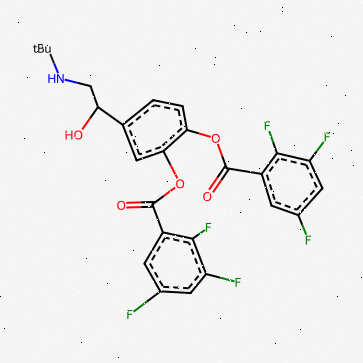 CC(C)(C)NCC(O)c1ccc(OC(=O)c2cc(F)cc(F)c2F)c(OC(=O)c2cc(F)cc(F)c2F)c1